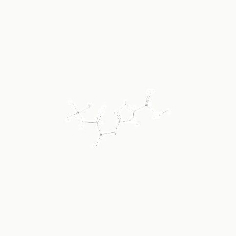 COC(=O)c1ccc(CC(C)C(=O)OC(C)(C)C)o1